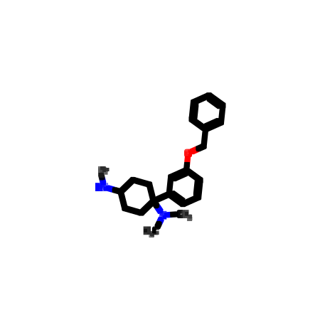 CC(C)NC1CCC(c2cccc(OCc3ccccc3)c2)(N(C)C)CC1